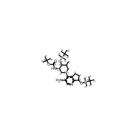 CC1CN(c2c(N)cnc3c2CCC3O[Si](C)(C)C(C)(C)C)C[C@@H](NC(=O)OC(C)(C)C)C1O[Si](C)(C)C(C)(C)C